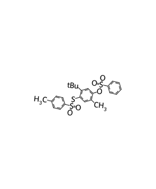 Cc1ccc(S(=O)(=O)Sc2cc(C)c(OS(=O)(=O)c3ccccc3)cc2C(C)(C)C)cc1